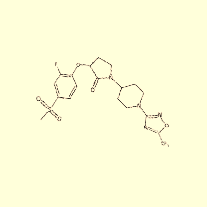 CS(=O)(=O)c1ccc(OC2CCN(C3CCN(c4noc(C(F)(F)F)n4)CC3)C2=O)c(F)c1